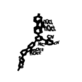 CCCCCCCCC1(CCCCCCCC)c2cc(C)ccc2-c2ccc(-c3cc(-c4ccc5c(c4)C(CCCCCCCC)(CCCCCCCC)c4cc(-c6cc7sc(C)cc7s6)ccc4-5)cc(-c4c(C#N)cc(C#N)cc4C#N)c3)cc21